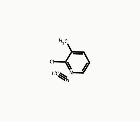 C#N.Cc1cccnc1Cl